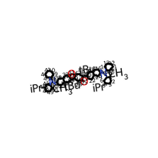 Cc1ccc(C(C)C)cc1N(c1ccccc1)c1ccc2cc3c(cc2c1)oc1c(C(C)(C)C)c2c(oc4cc5cc(N(c6ccccc6)c6cc(C(C)C)ccc6C)ccc5cc42)c(C(C)(C)C)c13